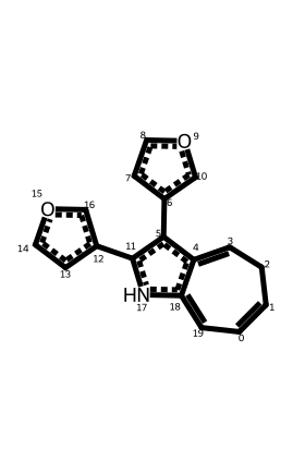 C1=CCC=c2c(-c3ccoc3)c(-c3ccoc3)[nH]c2=C1